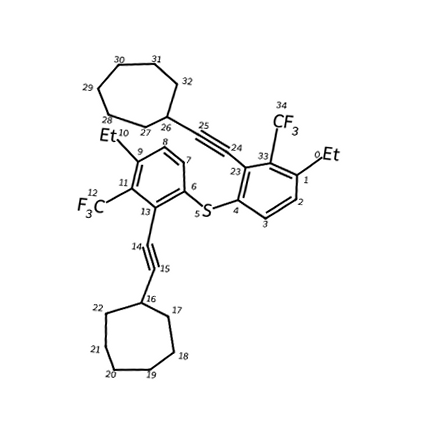 CCc1ccc(Sc2ccc(CC)c(C(F)(F)F)c2C#CC2CCCCCC2)c(C#CC2CCCCCC2)c1C(F)(F)F